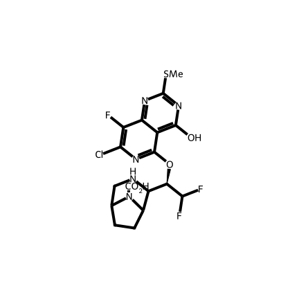 CSc1nc(O)c2c(O[C@@H](C(F)F)C3NCC4CCC3N4C(=O)O)nc(Cl)c(F)c2n1